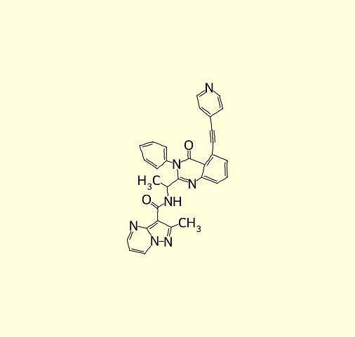 Cc1nn2cccnc2c1C(=O)NC(C)c1nc2cccc(C#Cc3ccncc3)c2c(=O)n1-c1ccccc1